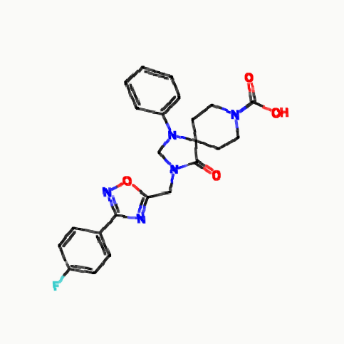 O=C(O)N1CCC2(CC1)C(=O)N(Cc1nc(-c3ccc(F)cc3)no1)CN2c1ccccc1